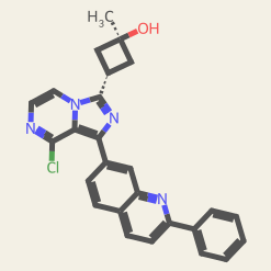 C[C@]1(O)C[C@H](c2nc(-c3ccc4ccc(-c5ccccc5)nc4c3)c3c(Cl)nccn32)C1